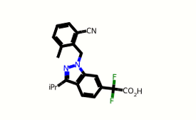 Cc1cccc(C#N)c1Cn1nc(C(C)C)c2ccc(C(F)(F)C(=O)O)cc21